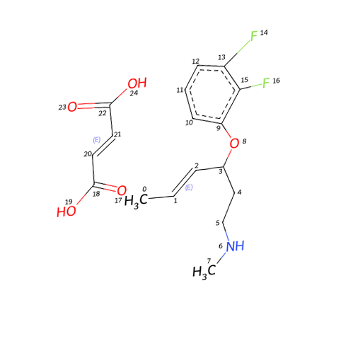 C/C=C/C(CCNC)Oc1cccc(F)c1F.O=C(O)/C=C/C(=O)O